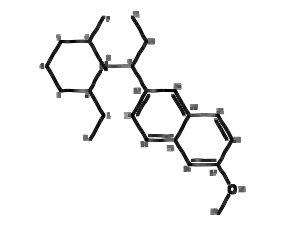 CCC1CCCC(C)N1C(CC)c1ccc2cc(OC)ccc2c1